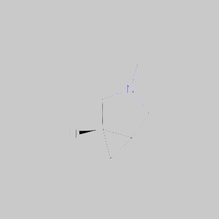 CN1CC2C[C@@H]2C1